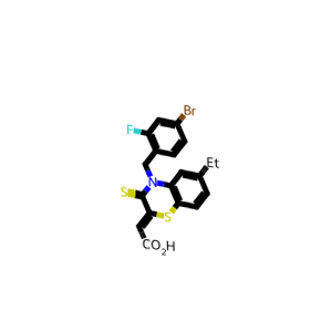 CCc1ccc2c(c1)N(Cc1ccc(Br)cc1F)C(=S)C(=CC(=O)O)S2